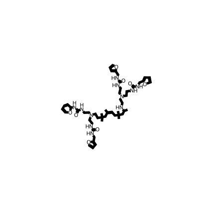 C/C(=C/CC(C)(C)CC(C)NCCN(CCNC(=O)NCc1ccco1)CCNC(=O)NCc1ccco1)CC(C)(C)CCN(CCNC(=O)NCc1ccco1)CCNC(=O)NC1C=CC=CO1